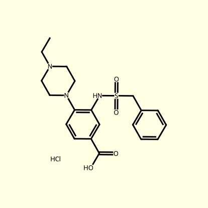 CCN1CCN(c2ccc(C(=O)O)cc2NS(=O)(=O)Cc2ccccc2)CC1.Cl